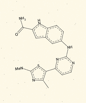 CNc1nc(C)c(-c2ccnc(Nc3ccc4[nH]c(C(N)=O)cc4c3)n2)s1